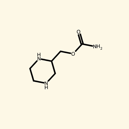 NC(=O)OCC1CNCCN1